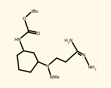 CNN(CC/C(N)=N\N)C1CCCC(NC(=O)OC(C)(C)C)C1